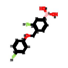 OB(O)c1ccc(COc2ccc(F)cc2)c(F)c1